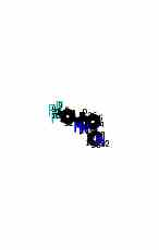 Cc1c(-c2ccc(C(F)(F)F)cc2)nnc2c([C@H]3CCCN(C)C3)cccc12